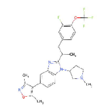 Cc1noc(C)c1-c1ccc2c(c1)nc(C(C)Cc1ccc(OC(F)(F)F)c(F)c1)n2C1CCN(C)C1